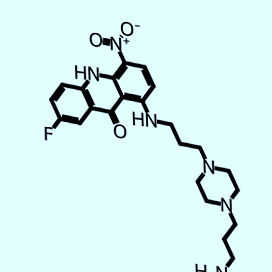 NCCCN1CCN(CCCNc2ccc([N+](=O)[O-])c3[nH]c4ccc(F)cc4c(=O)c23)CC1